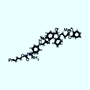 COc1ccccc1OC(=O)CCN(C(=O)c1ccc2c(c1)nc(CNc1ccc(/C(N)=N/C(=O)OCCCC(C)C)cc1)n2C)c1ccccn1